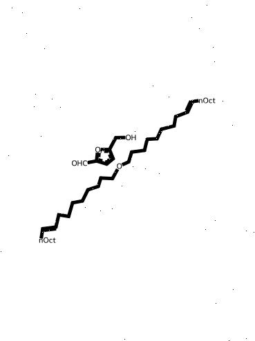 CCCCCCCCC=CCCCCCCCCOCCCCCCCCC=CCCCCCCCC.O=Cc1ccc(CO)o1